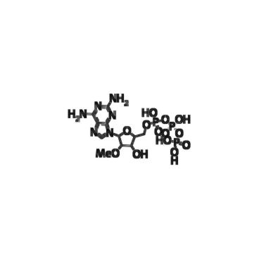 COC1C(O)C(COP(=O)(O)OP(=O)(O)OP(=O)(O)O)OC1n1cnc2c(N)nc(N)nc21